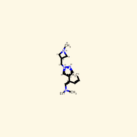 C/C=C\C(=C/N(C)CC)c1cnn(CC2CN(C)C2)c1